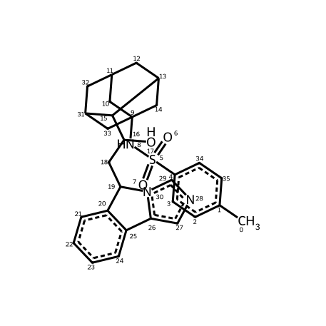 Cc1ccc(S(=O)(=O)NC23CC4CC(C2)C(C(O)CC2c5ccccc5-c5cncn52)C(C4)C3)cc1